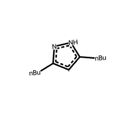 CCCCc1[c]c(CCCC)[nH]n1